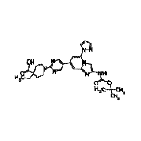 CCC1(C(=O)O)CCN(c2ncc(-c3cc(-n4cccn4)n4cc(NC(=O)OC(C)(C)C)nc4c3)cn2)CC1